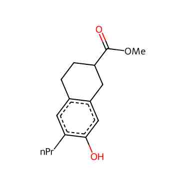 CCCc1cc2c(cc1O)CC(C(=O)OC)CC2